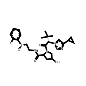 CC(C)(C)[C@@H](C(=O)N1CC(O)CC1C(=O)NCC[S+]([O-])c1ccccc1F)n1cc(C2CC2)nn1